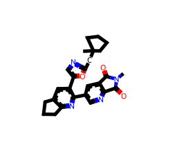 CN1C(=O)c2cc(-c3nc4c(cc3-c3cnc(CC5(C)CCCC5)o3)CCC4)cnc2C1=O